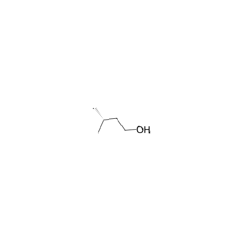 [CH2][C@@H](C)CCO